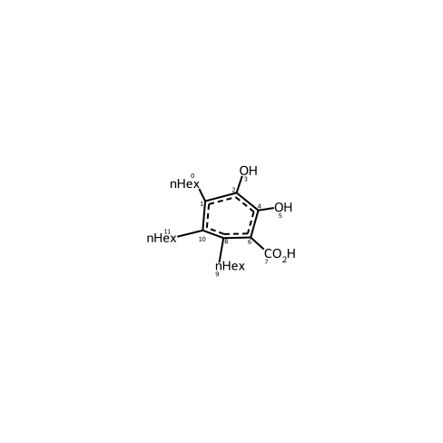 CCCCCCc1c(O)c(O)c(C(=O)O)c(CCCCCC)c1CCCCCC